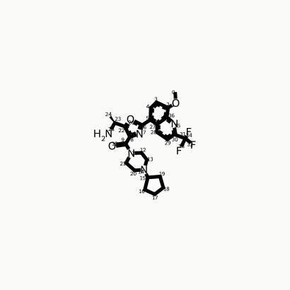 COc1ccc(-c2nc(C(=O)N3CCN(C4CCCC4)CC3)c([C@H](C)N)o2)c2ccc(C(F)(F)F)nc12